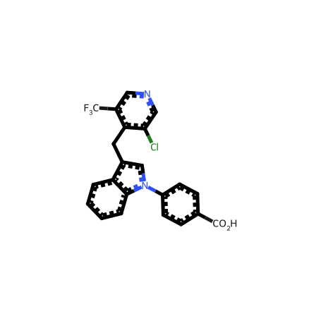 O=C(O)c1ccc(-n2cc(Cc3c(Cl)cncc3C(F)(F)F)c3ccccc32)cc1